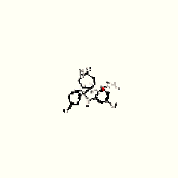 CO[C@H]1CC(=O)NC[C@@H](c2ccc(Cl)cc2)[C@]12C(=O)Nc1cc(Cl)ccc12